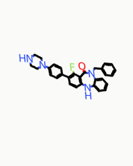 O=C1c2c(ccc(-c3ccc(N4CCNCC4)cc3)c2F)Nc2ccccc2N1Cc1ccccc1